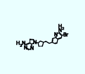 Nc1nc2cc(CC[C@H]3CC[C@@H](n4ccc5c(N)ncnc54)C3)ccc2cc1Br